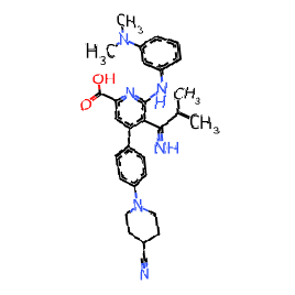 CC(C)C(=N)c1c(-c2ccc(N3CCC(C#N)CC3)cc2)cc(C(=O)O)nc1Nc1cccc(N(C)C)c1